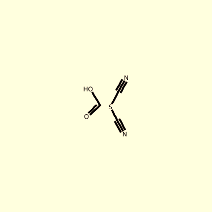 N#CSC#N.O=CO